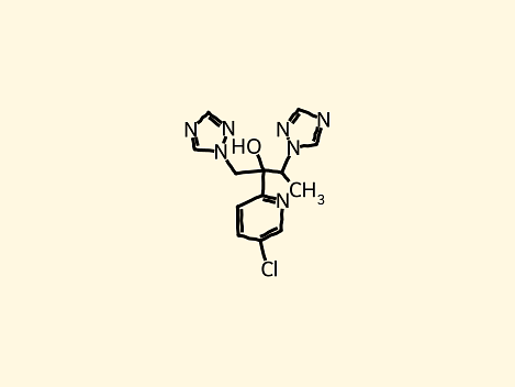 CC(n1cncn1)C(O)(Cn1cncn1)c1ccc(Cl)cn1